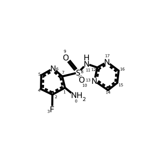 Nc1c(F)ccnc1S(=O)(=O)Nc1ncccn1